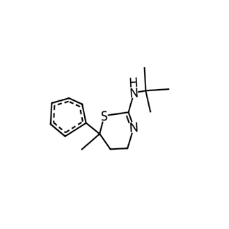 CC(C)(C)NC1=NCCC(C)(c2ccccc2)S1